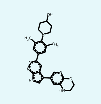 Cc1cc(-c2cc3c(-c4cnc5c(c4)NCCO5)c[nH]c3nn2)cc(C)c1N1CCC(O)CC1